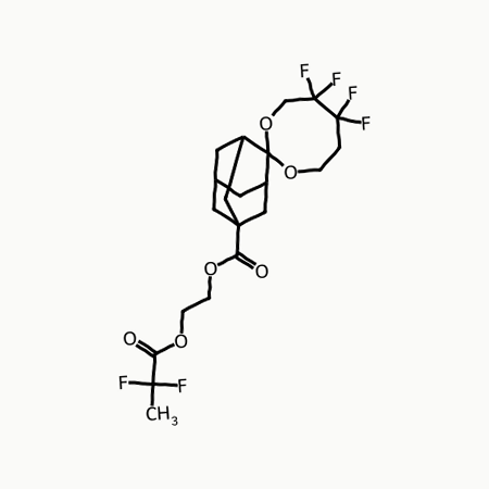 CC(F)(F)C(=O)OCCOC(=O)C12CC3CC(C1)C1(OCCC(F)(F)C(F)(F)CO1)C(C3)C2